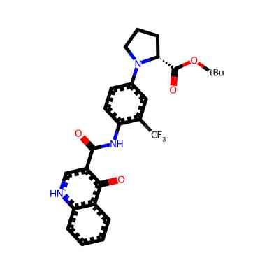 CC(C)(C)OC(=O)[C@H]1CCCN1c1ccc(NC(=O)c2c[nH]c3ccccc3c2=O)c(C(F)(F)F)c1